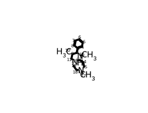 CN[C@@H](c1ccccc1)[C@@H](C)CN1CCCN(C)CC1